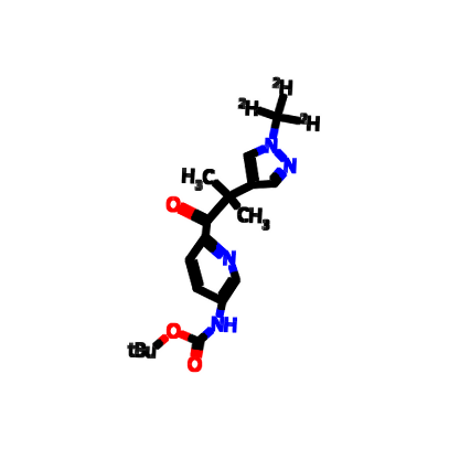 [2H]C([2H])([2H])n1cc(C(C)(C)C(=O)c2ccc(NC(=O)OC(C)(C)C)cn2)cn1